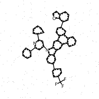 FC(F)(F)c1ccc(-c2ccc3c(c2)c2cc4c5ccccc5c5cc(-c6cccc7ccoc67)ccc5c4cc2n3-c2cc(-c3ccccc3)nc(-c3ccccc3)c2)cc1